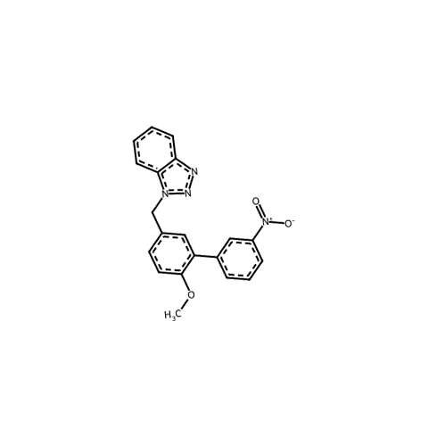 COc1ccc(Cn2nnc3ccccc32)cc1-c1cccc([N+](=O)[O-])c1